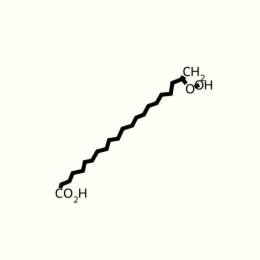 C=C(CCCCCCCCCCCCCCCCCCCC(=O)O)OO